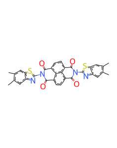 Cc1cc2nc(N3C(=O)c4ccc5c6c(ccc(c46)C3=O)C(=O)N(c3nc4cc(C)c(C)cc4s3)C5=O)sc2cc1C